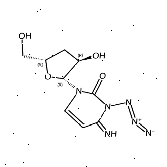 [N-]=[N+]=Nn1c(=N)ccn([C@@H]2O[C@H](CO)C[C@H]2O)c1=O